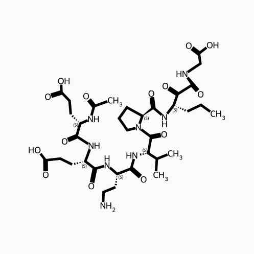 CCC[C@H](NC(=O)[C@@H]1CCCN1C(=O)[C@@H](NC(=O)[C@H](CCN)NC(=O)[C@H](CCC(=O)O)NC(=O)[C@H](CCC(=O)O)NC(C)=O)C(C)C)C(=O)C(=O)NCC(=O)O